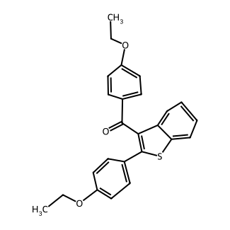 CCOc1ccc(C(=O)c2c(-c3ccc(OCC)cc3)sc3ccccc23)cc1